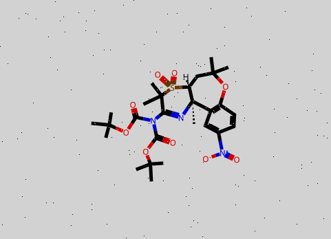 CC(C)(C)OC(=O)N(C(=O)OC(C)(C)C)C1=N[C@]2(C)c3cc([N+](=O)[O-])ccc3OC(C)(C)C[C@@H]2S(=O)(=O)C1(C)C